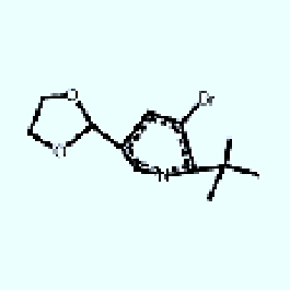 CC(C)(C)c1ncc(C2OCCO2)cc1Br